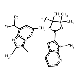 CCC(CC)c1cc(C)nn2c(I)c(C)nc12.Cn1c(B2OC(C)(C)C(C)(C)O2)cc2cccnc21